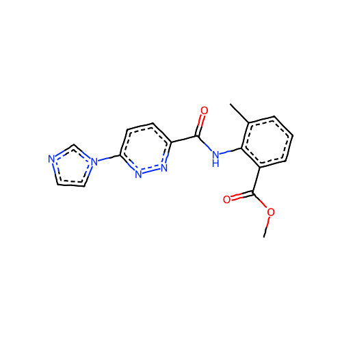 COC(=O)c1cccc(C)c1NC(=O)c1ccc(-n2ccnc2)nn1